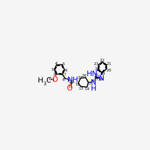 COc1ccccc1CNC(=O)[C@H]1CC[C@H](Nc2nc3ccccc3[nH]2)CC1